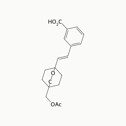 CC(=O)OCC12CCC(C=Cc3cccc(C(=O)O)c3)(CC1)OC2